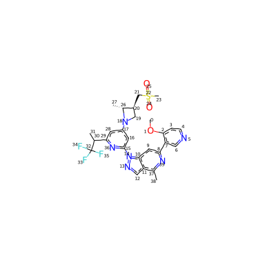 COc1ccncc1-c1cc2c(cnn2-c2cc(N3C[C@H](CS(C)(=O)=O)[C@H]3C)cc(C(C)C(F)(F)F)n2)c(C)n1